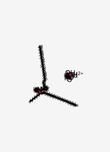 CCCCCCCCCC#CC(C=Nc1ccccc1CCCC#CCCCCCCCCCCCCCCCCCCCCCCCCC)=Nc1ccccc1CCCC#CCCCCCCCCCCCCCCCCCCCCCCCCC.Cc1ccc(O)c(O)c1C(=O)[O-].[Pd+2]